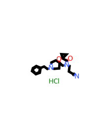 Cl.N#CCCN1CC2(CCN(CCc3ccccc3)CC2)OC2(CC2)C1=O